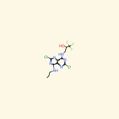 CCCNc1nc(Cl)nc2c(NCC(O)C(F)(F)F)nc(Cl)nc12